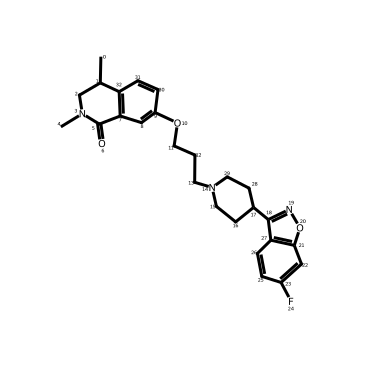 CC1CN(C)C(=O)c2cc(OCCCN3CCC(c4noc5cc(F)ccc45)CC3)ccc21